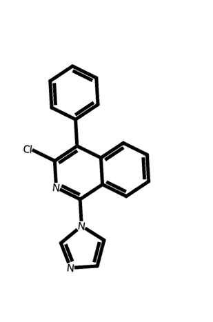 Clc1nc(-n2ccnc2)c2ccccc2c1-c1ccccc1